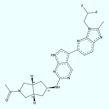 CC(=O)N1C[C@H]2C[C@H](Nc3ncc4c(-c5ccc6nc(C)n(CC(F)F)c6n5)c[nH]c4n3)C[C@H]2C1